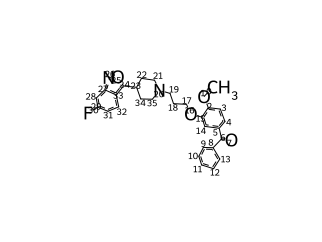 COc1ccc(C(=O)c2ccccc2)cc1OCCCN1CCC(c2onc3cc(F)ccc23)CC1